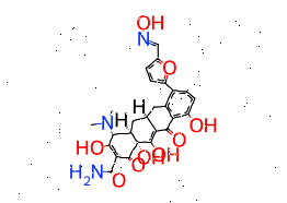 CN(C)[C@H]1C(O)=C(C(N)=O)C(=O)[C@]2(O)C(O)=C3C(=O)c4c(O)ccc(-c5ccc(/C=N/O)o5)c4C[C@@H]3C[C@H]12